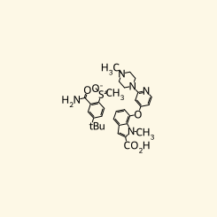 CN1CCN(c2cc(Oc3cccc4cc(C(=O)O)n(C)c34)ccn2)CC1.C[S+]([O-])c1ccc(C(C)(C)C)cc1C(N)=O